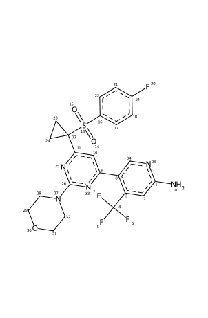 Nc1cc(C(F)(F)F)c(-c2cc(C3(S(=O)(=O)c4ccc(F)cc4)CC3)nc(N3CCOCC3)n2)cn1